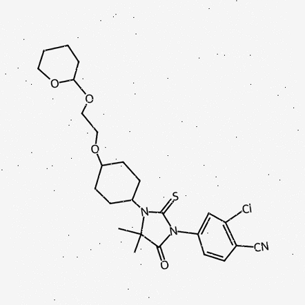 CC1(C)C(=O)N(c2ccc(C#N)c(Cl)c2)C(=S)N1C1CCC(OCCOC2CCCCO2)CC1